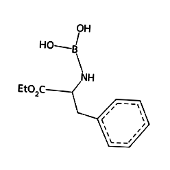 CCOC(=O)C(Cc1ccccc1)NB(O)O